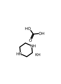 C1CNCCN1.O=C(O)O.[KH]